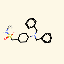 CNS(=O)(=O)C[C@H]1CC[C@H](N(Cc2ccccc2)Cc2ccccc2)CC1